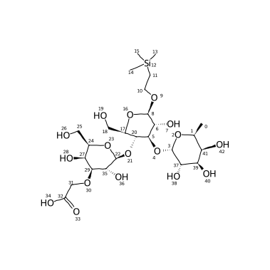 C[C@@H]1O[C@@H](O[C@@H]2[C@@H](O)[C@H](OCC[Si](C)(C)C)O[C@H](CO)[C@H]2O[C@@H]2O[C@H](CO)[C@H](O)[C@H](OCC(=O)O)[C@H]2O)[C@@H](O)[C@H](O)[C@@H]1O